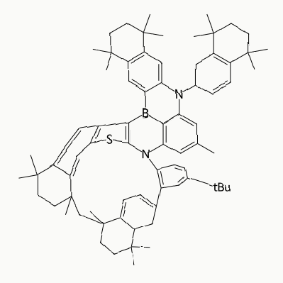 Cc1cc2c3c(c1)N(C1C=CC4=C(C1)C(C)(C)CCC4(C)C)c1cc4c(cc1B3c1c3sc5cc6c(cc15)C(C)(C)CCC6(C)CC1(C)CCC(C)(C)C5CC(=CC=C51)c1cc(C(C)(C)C)ccc1N23)C(C)(C)CCC4(C)C